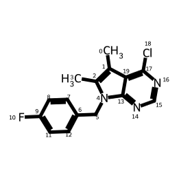 Cc1c(C)n(Cc2ccc(F)cc2)c2ncnc(Cl)c12